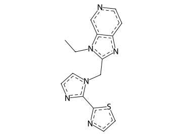 CCn1c(Cn2ccnc2-c2nccs2)nc2ccncc21